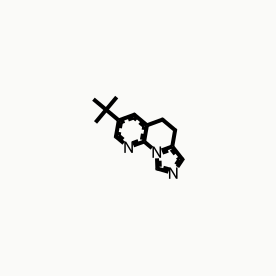 CC(C)(C)c1cnc2c(c1)CCc1cncn1-2